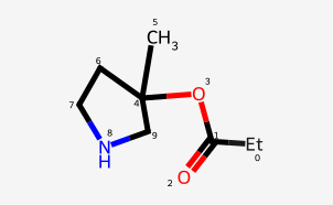 CCC(=O)OC1(C)CCNC1